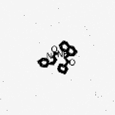 O=C(Cc1cccc2cccc(NC(=O)c3ccc4ccccc4n3)c12)c1ccccc1